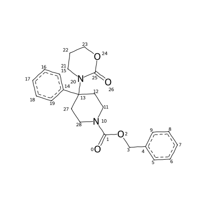 O=C(OCc1ccccc1)N1CCC(c2ccccc2)(N2CCCOC2=O)CC1